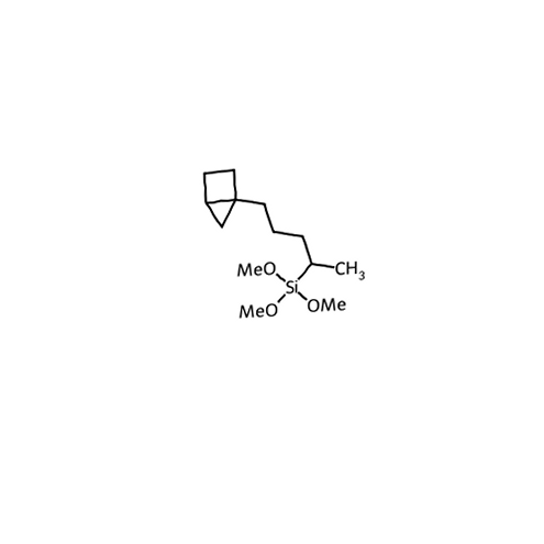 CO[Si](OC)(OC)C(C)CCCC12CCC1C2